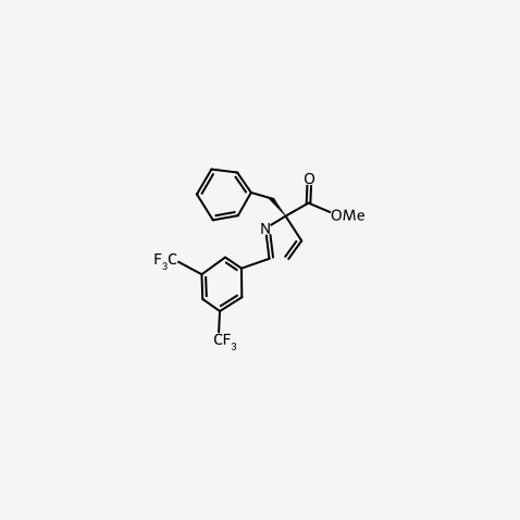 C=C[C@](Cc1ccccc1)(N=Cc1cc(C(F)(F)F)cc(C(F)(F)F)c1)C(=O)OC